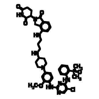 COc1cc(N2CCC(NCCCNc3cccc4c3CN(C3CCC(=O)NC3=O)C4=O)CC2)ccc1Nc1ncc(Cl)c(Nc2ccccc2P(C)(C)=O)n1